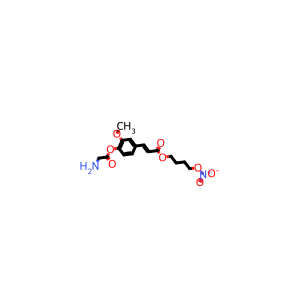 COc1cc(/C=C/C(=O)OCCCCO[N+](=O)[O-])ccc1OC(=O)CN